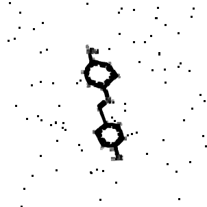 CCCCc1ccc(N=Cc2ccc(CC)cc2)cc1